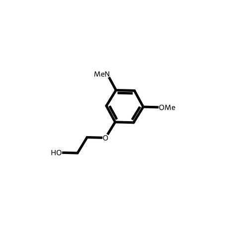 CNc1cc(OC)cc(OCCO)c1